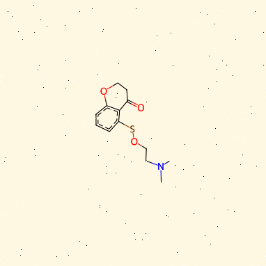 CN(C)CCOSc1cccc2c1C(=O)CCO2